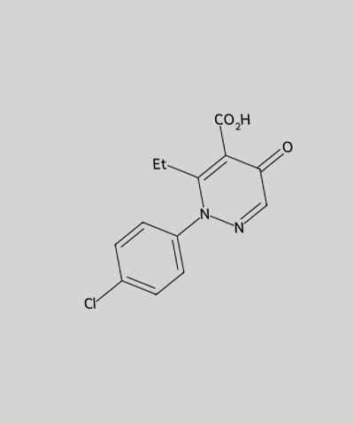 CCc1c(C(=O)O)c(=O)cnn1-c1ccc(Cl)cc1